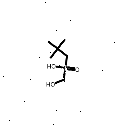 CC(C)(C)CP(=O)(O)CO